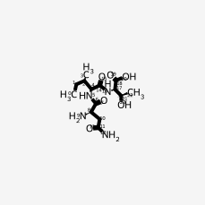 CC[C@H](C)[C@H](NC(=O)[C@@H](N)CC(N)=O)C(=O)N[C@H](C(=O)O)[C@@H](C)O